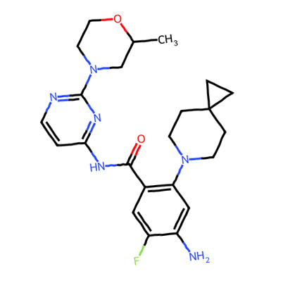 CC1CN(c2nccc(NC(=O)c3cc(F)c(N)cc3N3CCC4(CC3)CC4)n2)CCO1